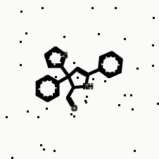 O=CC1NC(c2ccccc2)=CC1(c1ccccc1)c1cccs1